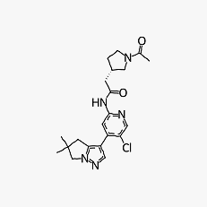 CC(=O)N1CC[C@@H](CC(=O)Nc2cc(-c3cnn4c3CC(C)(C)C4)c(Cl)cn2)C1